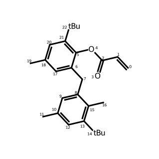 C=CC(=O)Oc1c(Cc2cc(C)cc(C(C)(C)C)c2C)cc(C)cc1C(C)(C)C